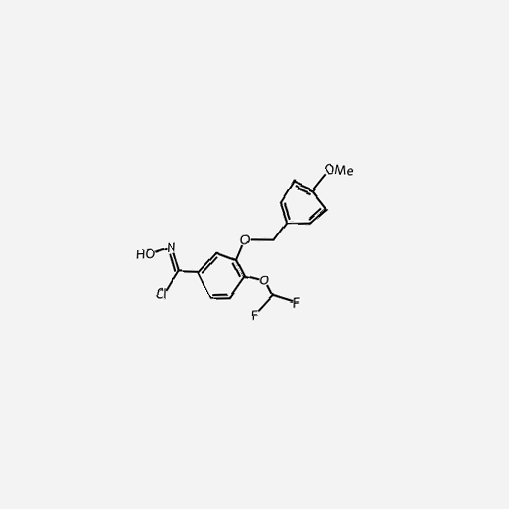 COc1ccc(COc2cc(C(Cl)=NO)ccc2OC(F)F)cc1